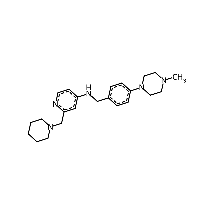 CN1CCN(c2ccc(CNc3ccnc(CN4CCCCC4)c3)cc2)CC1